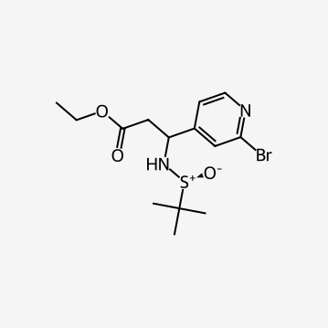 CCOC(=O)CC(N[S@@+]([O-])C(C)(C)C)c1ccnc(Br)c1